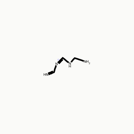 N=C/N=C\NCN